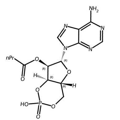 CCCC(=O)O[C@@H]1[C@@H]2OP(=O)(O)OC[C@H]2O[C@H]1n1cnc2c(N)ncnc21